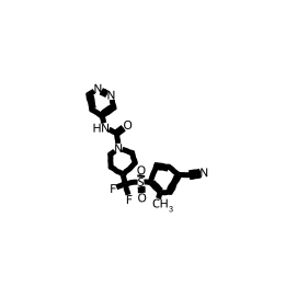 Cc1cc(C#N)ccc1S(=O)(=O)C(F)(F)C1CCN(C(=O)Nc2ccnnc2)CC1